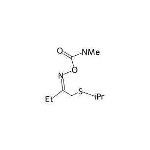 CCC(CSC(C)C)=NOC(=O)NC